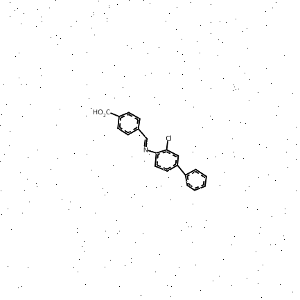 O=C(O)c1ccc(C=Nc2ccc(-c3ccccc3)cc2Cl)cc1